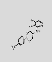 CCc1ncnc(N[C@H]2CS[C@@H](c3ccc(C)cc3)SC2)c1Cl